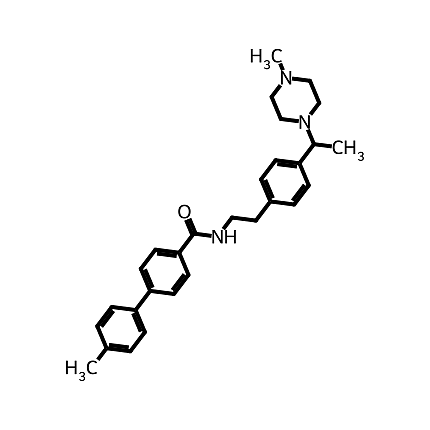 Cc1ccc(-c2ccc(C(=O)NCCc3ccc(C(C)N4CCN(C)CC4)cc3)cc2)cc1